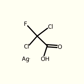 O=C(O)C(F)(Cl)Cl.[Ag]